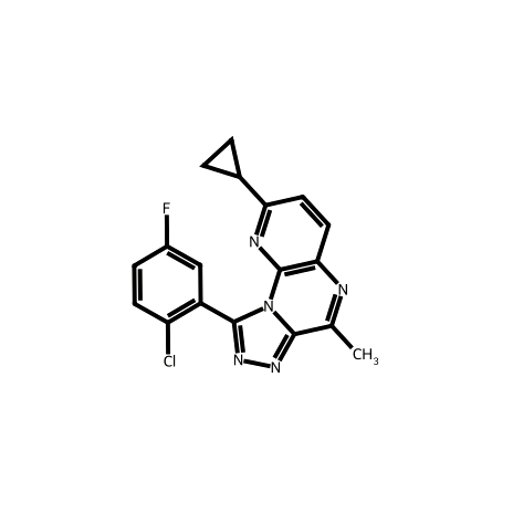 Cc1nc2ccc(C3CC3)nc2n2c(-c3cc(F)ccc3Cl)nnc12